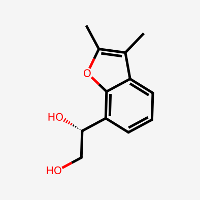 Cc1oc2c([C@@H](O)CO)cccc2c1C